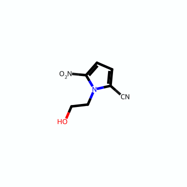 N#Cc1ccc([N+](=O)[O-])n1CCO